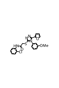 COc1cccc(-n2c(SCC(=O)Nc3ccccc3Cl)nnc2-c2ccco2)c1